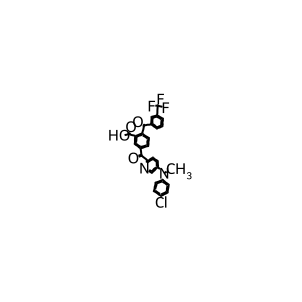 CN(c1ccc(Cl)cc1)c1ccc(C(=O)c2ccc(C(=O)c3cccc(C(F)(F)F)c3)c(C(=O)O)c2)nc1